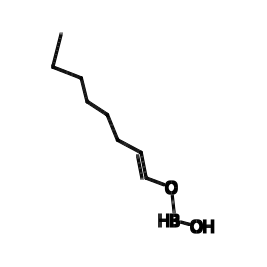 CCCCCCC=COBO